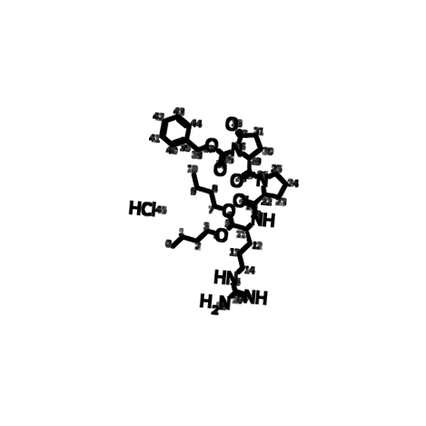 CCCCOC(OCCCC)[C@H](CCCNC(=N)N)NC(=O)[C@@H]1CCCN1C(=O)[C@@H]1CCC(=O)N1C(=O)OCc1ccccc1.Cl